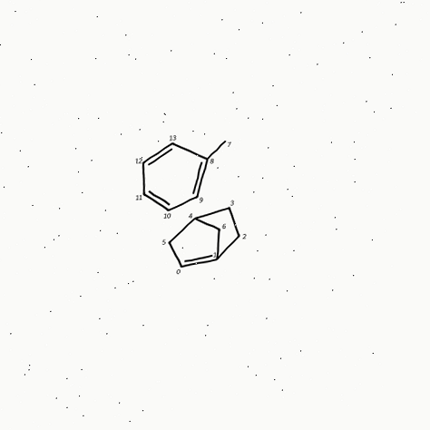 C1=C2CCC(C1)C2.Cc1ccccc1